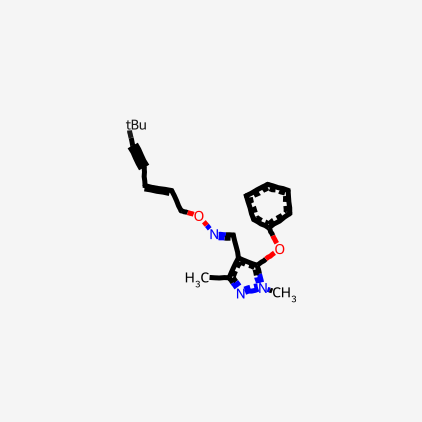 Cc1nn(C)c(Oc2ccccc2)c1C=NOCC=CC#CC(C)(C)C